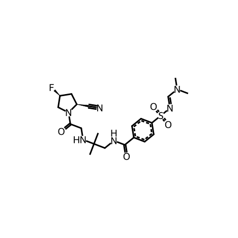 CN(C)C=NS(=O)(=O)c1ccc(C(=O)NCC(C)(C)NCC(=O)N2C[C@@H](F)C[C@H]2C#N)cc1